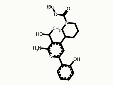 CC(O)c1c(C2CCCN(C(=O)OC(C)(C)C)C2)cc(-c2ccccc2O)nc1N